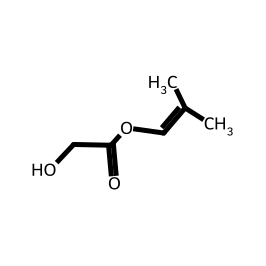 CC(C)=COC(=O)CO